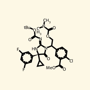 COC(=O)c1cc(C(COC(=O)N(C)C)N2C(=O)[C@](c3cc(F)cc(F)c3)(C3CC3)NC2=NC(=O)OC(C)(C)C)ccc1Cl